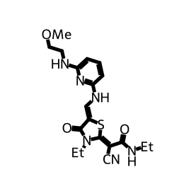 CCNC(=O)C(C#N)=c1sc(=CNc2cccc(NCCOC)n2)c(=O)n1CC